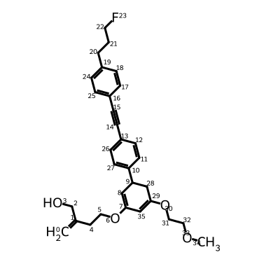 C=C(CO)CCOC1=CC(c2ccc(C#Cc3ccc(CCCF)cc3)cc2)CC(OCCOC)=C1